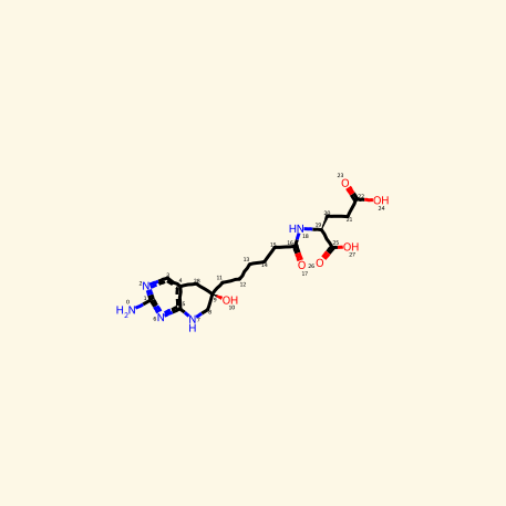 Nc1ncc2c(n1)NC[C@@](O)(CCCCCC(=O)N[C@@H](CCC(=O)O)C(=O)O)C2